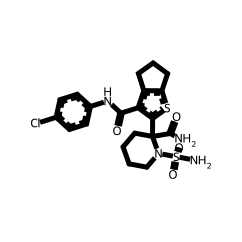 NC(=O)C1(c2sc3c(c2C(=O)Nc2ccc(Cl)cc2)CCC3)CCCCN1S(N)(=O)=O